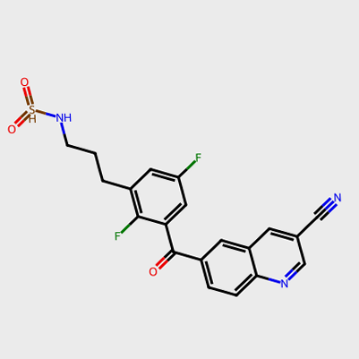 N#Cc1cnc2ccc(C(=O)c3cc(F)cc(CCCN[SH](=O)=O)c3F)cc2c1